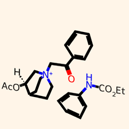 CC(=O)O[C@H]1C[N+]2(CC(=O)c3ccccc3)CCC1CC2.CCOC(=O)Nc1ccccc1